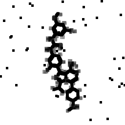 CNC1CC=C(c2cnc(N)c3c(-c4ccc(NC(=O)Nc5cc(F)cc(OC)c5)cc4F)nc(C(C)C)n23)CC1